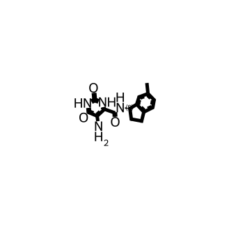 Cc1ccc2c(c1)[C@@H](NC(=O)c1[nH]c(=O)[nH]c(=O)c1N)CC2